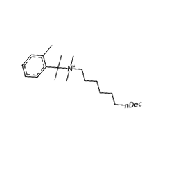 CCCCCCCCCCCCCCCC[N+](C)(C)C(C)(C)c1ccccc1C